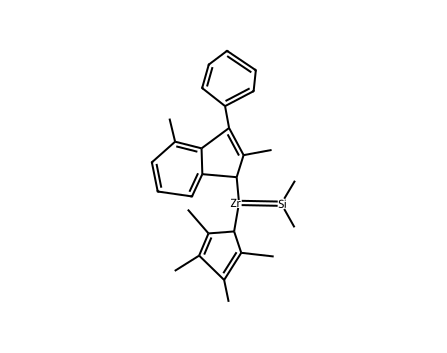 CC1=C(C)[CH]([Zr]([CH]2C(C)=C(c3ccccc3)c3c(C)cccc32)=[Si](C)C)C(C)=C1C